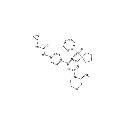 C[C@H]1COCCN1c1cc(C2(S(=O)(=O)c3ccccn3)CCCC2)nc(-c2ccc(NC(=O)NC3CC3)cc2)n1